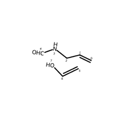 C=CCNC=O.C=CO